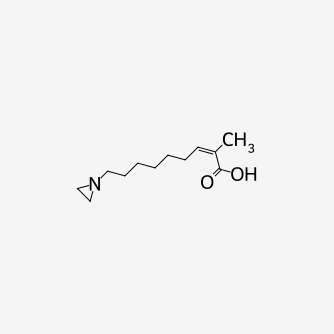 CC(=CCCCCCCN1CC1)C(=O)O